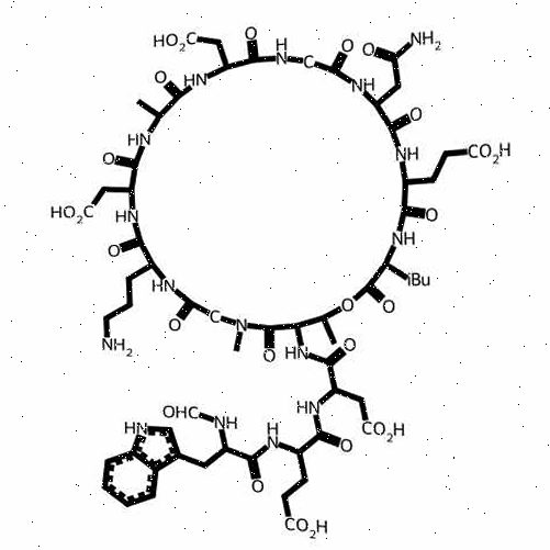 CCC(C)C1NC(=O)C(CCC(=O)O)NC(=O)C(CC(N)=O)NC(=O)CNC(=O)C(CC(=O)O)NC(=O)C(C)NC(=O)C(CC(=O)O)NC(=O)C(CCCN)NC(=O)CN(C)C(=O)C(NC(=O)C(CC(=O)O)NC(=O)C(CCC(=O)O)NC(=O)C(Cc2c[nH]c3ccccc23)NC=O)C(C)OC1=O